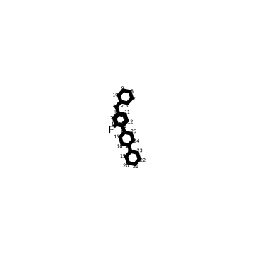 Fc1cc(CC2CCCCC2)ccc1C1CCC(C2CCCCC2)CC1